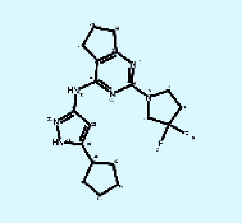 FC1(F)C[CH]N(c2nc3c(c(Nc4cc(C5CCCC5)[nH]n4)n2)CCC3)C1